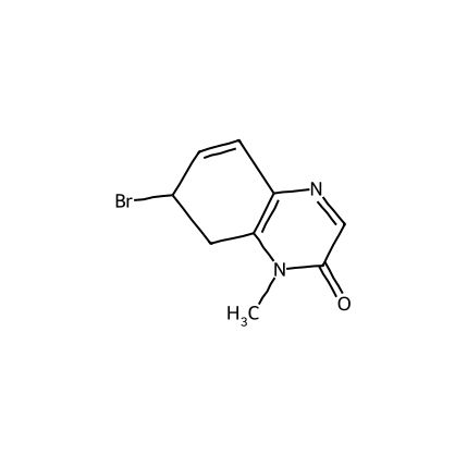 Cn1c2c(ncc1=O)C=CC(Br)C2